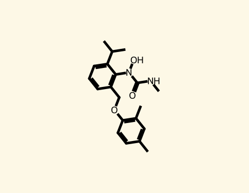 CNC(=O)N(O)c1c(COc2ccc(C)cc2C)cccc1C(C)C